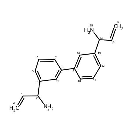 C=CC(N)c1cccc(-c2cccc(C(N)C=C)c2)c1